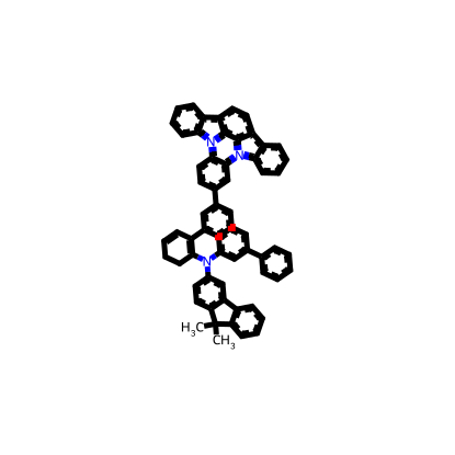 CC1(C)c2ccccc2-c2cc(N(C3=C(c4cccc(-c5ccc6c(c5)n5c7ccccc7c7ccc8c9ccccc9n6c8c75)c4)C=CCC3)c3cccc(-c4ccccc4)c3)ccc21